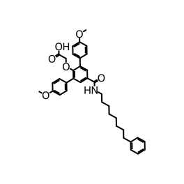 COc1ccc(-c2cc(C(=O)NCCCCCCCCc3ccccc3)cc(-c3ccc(OC)cc3)c2OCC(=O)O)cc1